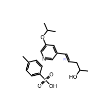 CC(O)C/C=C/c1cncc(OC(C)C)c1.Cc1ccc(S(=O)(=O)O)cc1